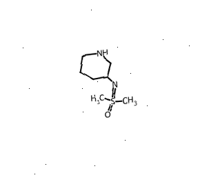 CS(C)(=O)=NC1CCCNC1